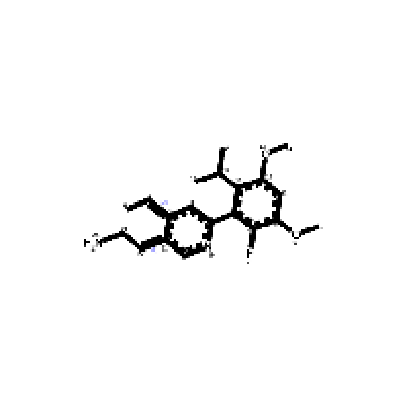 C/C=c1/cc(-c2c(F)c(OC)cc(OC)c2C(C)C)nc/c1=C/CN